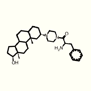 C[C@]12C[C@H](N3CCN(C(=O)C(N)Cc4ccccc4)CC3)CCC1CCC1C2CC[C@@]2(C)C1CC[C@@H]2O